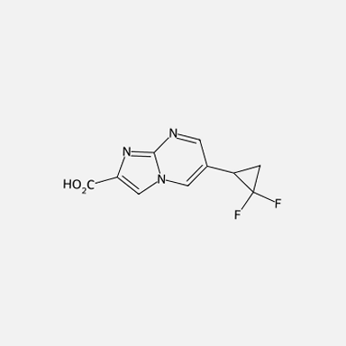 O=C(O)c1cn2cc(C3CC3(F)F)cnc2n1